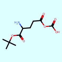 CC(C)(C)OC(=O)C(N)CCC(=O)OC(=O)O